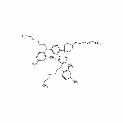 CCCCCCC1CCC(c2ccc(C(CCCCCC)c3ccc(N)cc3C)cc2)(c2ccc(C(CCCCCC)c3ccc(N)cc3C)cc2)CC1